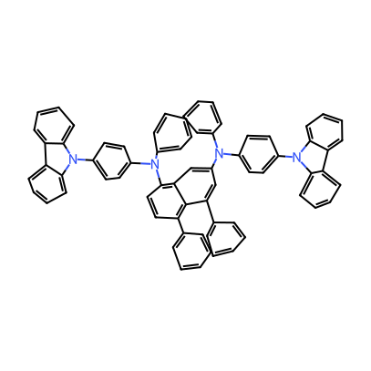 c1ccc(-c2ccc(N(c3ccccc3)c3ccc(-n4c5ccccc5c5ccccc54)cc3)c3cc(N(c4ccccc4)c4ccc(-n5c6ccccc6c6ccccc65)cc4)cc(-c4ccccc4)c23)cc1